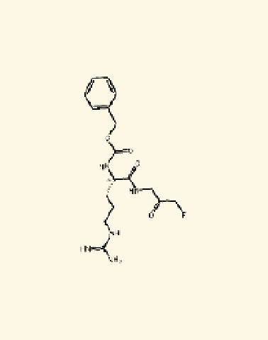 N=C(N)NCCC[C@H](NC(=O)OCc1ccccc1)C(=O)NCC(=O)CF